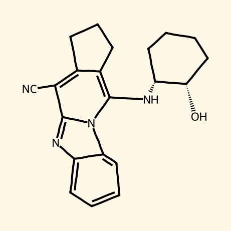 N#Cc1c2c(c(N[C@@H]3CCCC[C@@H]3O)n3c1nc1ccccc13)CCC2